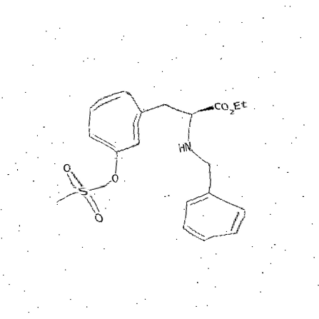 CCOC(=O)[C@H](Cc1cccc(OS(C)(=O)=O)c1)NCc1ccccc1